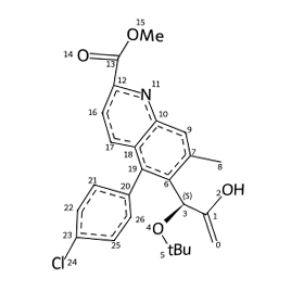 C=C(O)[C@@H](OC(C)(C)C)c1c(C)cc2nc(C(=O)OC)ccc2c1-c1ccc(Cl)cc1